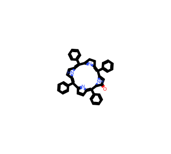 O=C1C=C2NC1C(c1ccccc1)=C1C=CC(=N1)C(c1ccccc1)=c1ccc([nH]1)=C(c1ccccc1)C1=NC(=C2c2ccccc2)CC1